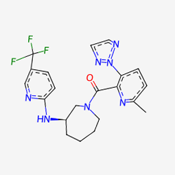 Cc1ccc(-n2nccn2)c(C(=O)N2CCCC[C@@H](Nc3ccc(C(F)(F)F)cn3)C2)n1